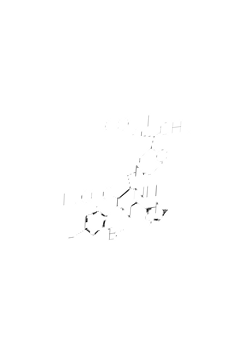 CCOC(=O)C1=C(CN2CCOC(C(C)CC(=O)O)C2)NC(c2nccs2)=NC1c1ccc(F)cc1Br